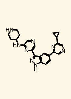 c1cc2[nH]nc(-c3cncc(NC4CCNCC4)n3)c2cc1-c1cncc(C2CC2)n1